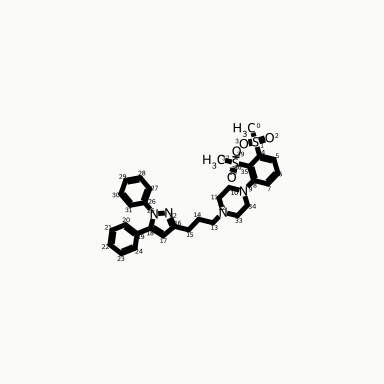 CS(=O)(=O)c1cccc(N2CCN(CCCc3cc(-c4ccccc4)n(-c4ccccc4)n3)CC2)c1S(C)(=O)=O